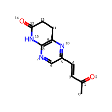 CC(=O)/C=C/c1cnc2c(n1)CCC(=O)N2